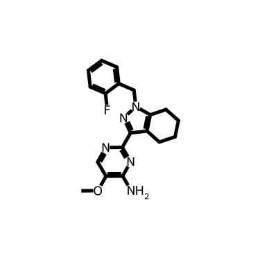 COc1cnc(-c2nn(Cc3ccccc3F)c3c2CCCC3)nc1N